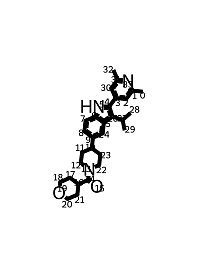 Cc1cc(-c2[nH]c3ccc(C4CCN(C(=O)C5CCOCC5)CC4)cc3c2C(C)C)cc(C)n1